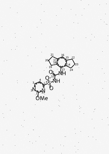 COc1nccc(S(=O)(=O)NC(=O)Nc2c3c(cc4c2CCC4)CCC3)n1